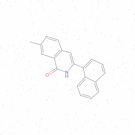 Cc1ccc2cc(-c3cccc4ccccc34)[nH]c(=O)c2c1